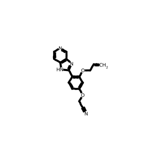 C=CCOc1cc(OCC#N)ccc1-c1nc2cnccc2[nH]1